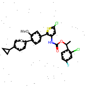 COc1cc(-c2sc(Cl)cc2NC(=O)OC(C)c2ccc(F)cc2Cl)ccc1-c1ccc(C2CC2)cc1